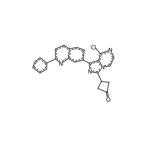 O=C1CC(c2nc(-c3ccc4ccc(-c5ccccc5)nc4c3)c3c(Cl)nccn23)C1